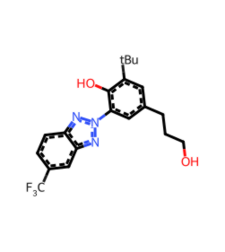 CC(C)(C)c1cc(CCCO)cc(-n2nc3ccc(C(F)(F)F)cc3n2)c1O